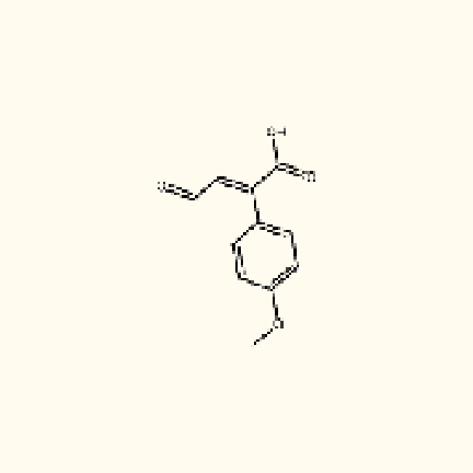 COc1ccc(/C(=C\C=O)C(=O)O)cc1